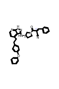 N#C/C(=C\c1ccccc1)C(=O)N1CC[C@@H](Nc2n[nH]c3nccc(CCc4ccc(Oc5ccccc5)cc4)c23)C1